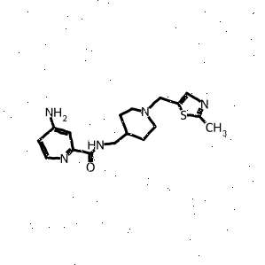 Cc1ncc(CN2CCC(CNC(=O)c3cc(N)ccn3)CC2)s1